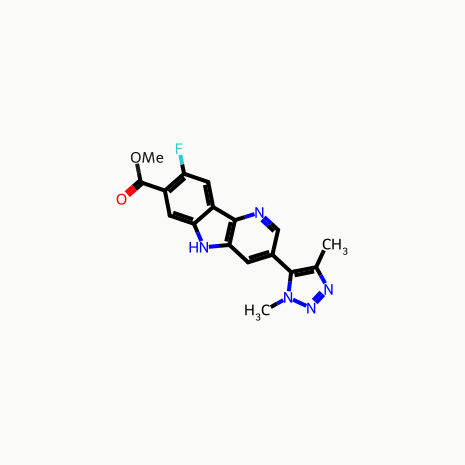 COC(=O)c1cc2[nH]c3cc(-c4c(C)nnn4C)cnc3c2cc1F